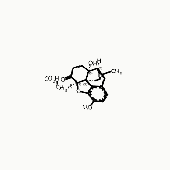 CC(=O)O.CN1CC[C@]23c4c5ccc(O)c4O[C@H]2C(=O)CC[C@@]3(O)[C@H]1C5